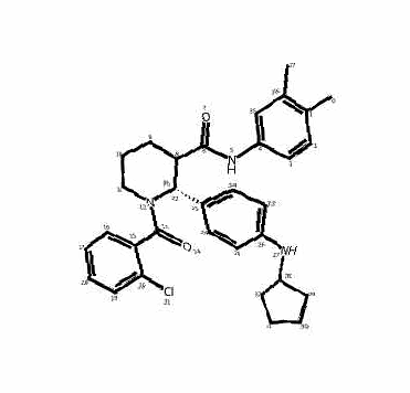 Cc1ccc(NC(=O)C2CCCN(C(=O)c3ccccc3Cl)[C@H]2c2ccc(NC3CCCC3)cc2)cc1C